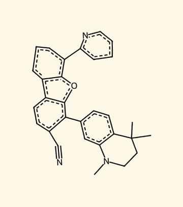 CN1CCC(C)(C)c2ccc(-c3c(C#N)ccc4c3oc3c(-c5ccccn5)cccc34)cc21